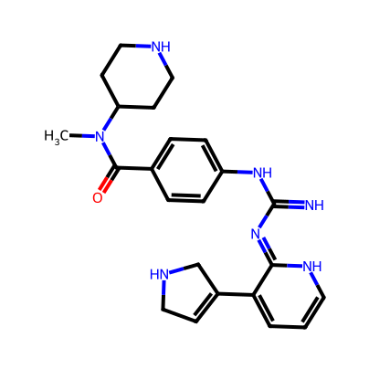 CN(C(=O)c1ccc(NC(=N)/N=c2\[nH]cccc2C2=CCNC2)cc1)C1CCNCC1